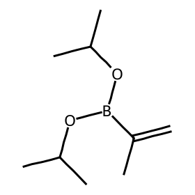 C=C(C)B(OC(C)C)OC(C)C